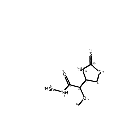 COC(C(=O)[NH][SnH])C1CSC(=S)N1